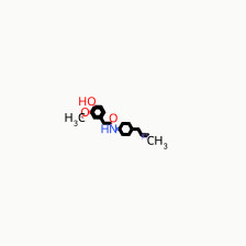 C/C=C/CC1CCC(NC(=O)Cc2ccc(O)c(OC)c2)CC1